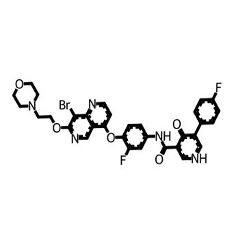 O=C(Nc1ccc(Oc2ccnc3c(Br)c(OCCN4CCOCC4)ncc23)c(F)c1)c1c[nH]cc(-c2ccc(F)cc2)c1=O